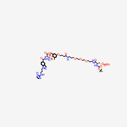 Cc1cc(OCCCC(=O)NCCCOCCOCCOCCCNC(=O)[C@@H](CSOOO)NC(=O)OC(C)(C)C)cc(C)c1S(=O)(=O)N[C@@H](CNC(=O)c1ccc2c(cnn2CCCNc2ncc[nH]2)c1)C(=O)O